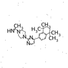 CC(=N)N1CCN(c2nccc(-c3ccc4c(c3)C(C)(C)CCC4(C)C)n2)CC1